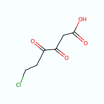 O=C(O)CC(=O)C(=O)CCCl